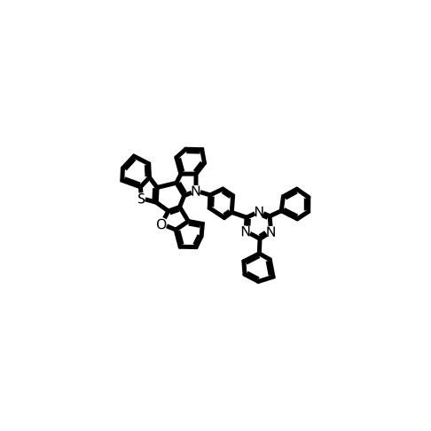 c1ccc(-c2nc(-c3ccccc3)nc(-c3ccc(-n4c5ccccc5c5c6c7ccccc7sc6c6oc7ccccc7c6c54)cc3)n2)cc1